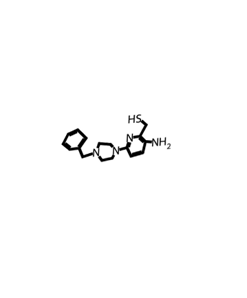 Nc1ccc(N2CCN(Cc3ccccc3)CC2)nc1CS